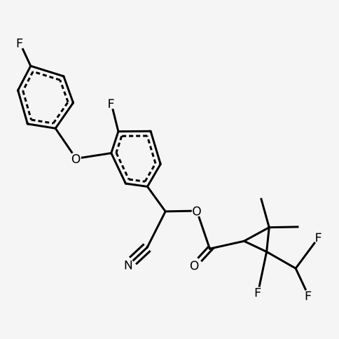 CC1(C)C(C(=O)OC(C#N)c2ccc(F)c(Oc3ccc(F)cc3)c2)C1(F)C(F)F